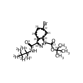 [2H]C([2H])([2H])C([2H])([2H])NC(=O)c1nn(C(=O)OC(C)(C)C)c2cc(Br)ccc12